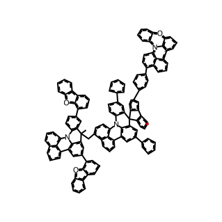 CC1(Cc2ccc3c4c(cccc24)-c2cc(-c4ccccc4)cc4c2N3c2ccc(-c3ccccc3)cc2C42c3ccccc3-c3cc(-c4ccc(-c5ccc6c7c5cccc7c5cccc7oc8ccccc8n6-c75)cc4)ccc32)c2cc(-c3cccc4c3oc3ccccc34)ccc2N2c3c(cc(-c4cccc5c4oc4ccccc45)cc31)-c1cccc3cccc2c13